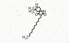 CCCCCCCCCCCCN1C(=O)NC2(CCNC(C)(C)C2)C1=O